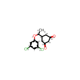 CC(Oc1cc(Cl)cc(Cl)c1)C1CC(=O)CC(=O)C1